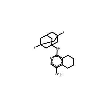 O=C(O)c1cnc(NC23CC4CC(F)(CC(F)(C4)C2)C3)c2c1CCCC2